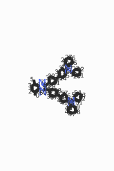 Cc1ccc(C)c2nc(-c3ccc(-c4ccc(N(c5ccccc5)c5ccccc5)cc4)cc3)c(-c3ccc(-c4ccc(N(c5ccccc5)c5ccccc5)cc4)cc3)nc12